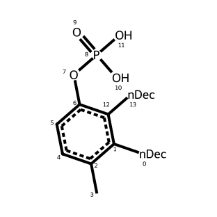 CCCCCCCCCCc1c(C)ccc(OP(=O)(O)O)c1CCCCCCCCCC